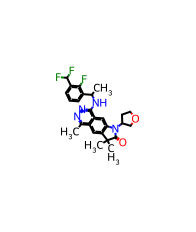 Cc1nnc(NC(C)c2cccc(C(F)F)c2F)c2cc3c(cc12)C(C)(C)C(=O)N3C1CCOC1